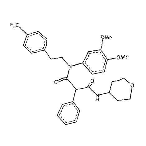 COc1ccc(N(CCc2ccc(C(F)(F)F)cc2)C(=O)C(C(=O)NC2CCOCC2)c2ccccc2)cc1OC